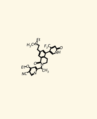 CCOc1cc(C(C)N2CCc3c(cc(CCN(C)CC)cc3-c3c[nH]c(=O)cc3C(F)(F)F)C2=O)ncc1C#N